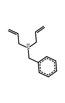 C=CC[SiH](CC=C)Cc1ccccc1